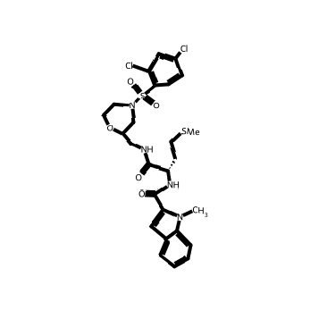 CSCC[C@H](NC(=O)c1cc2ccccc2n1C)C(=O)NCC1CN(S(=O)(=O)c2ccc(Cl)cc2Cl)CCO1